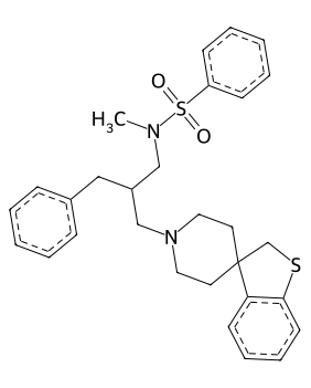 CN(CC(Cc1ccccc1)CN1CCC2(CC1)CSc1ccccc12)S(=O)(=O)c1ccccc1